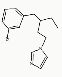 CCC(CCn1ccnc1)Cc1cccc(Br)c1